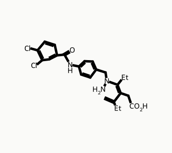 C=C(CC)/C(CC(=O)O)=C(/CC)N(N)Cc1ccc(NC(=O)c2ccc(Cl)c(Cl)c2)cc1